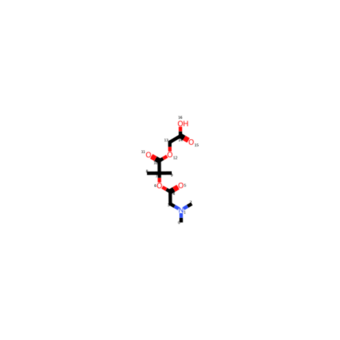 CN(C)CC(=O)OC(C)(C)C(=O)OCC(=O)O